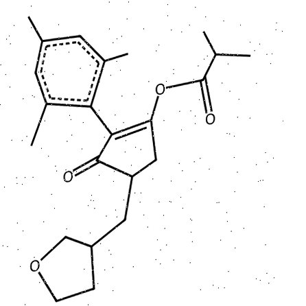 Cc1cc(C)c(C2=C(OC(=O)C(C)C)CC(CC3CCOC3)C2=O)c(C)c1